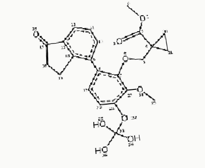 COC(=O)C1(COc2c(-c3cccc4c3CCC4=O)ccc(OC(O)(O)O)c2OC)CC1